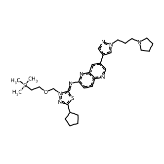 C[Si](C)(C)CCOCn1nc(C2CCCC2)s/c1=N\c1ccc2ncc(-c3cnn(CCCN4CCCC4)c3)cc2n1